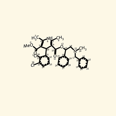 COC(=O)C1=C(C)NC(C)=C(C(=O)OC(CN(C)Cc2ccccc2)c2ccccc2)C1c1cccc(Cl)c1Cl